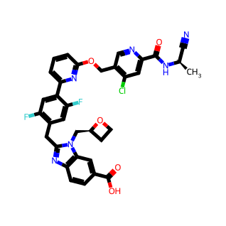 C[C@H](C#N)NC(=O)c1cc(Cl)c(COc2cccc(-c3cc(F)c(Cc4nc5ccc(C(=O)O)cc5n4C[C@@H]4CCO4)cc3F)n2)cn1